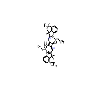 CC(C)CCN1/C(=C\C2=C(O)C(=C\C3=[N+](CCC(C)C)c4cccc(C(F)(F)F)c4C3(C)C)/C2=O)C(C)(C)c2c1cccc2C(F)(F)F